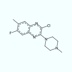 Cc1cc2nc(Cl)c(N3CCN(C)CC3)nc2cc1F